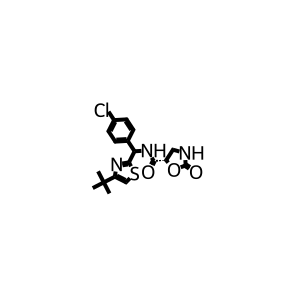 CC(C)(C)c1csc(C(NC(=O)[C@@H]2CNC(=O)O2)c2ccc(Cl)cc2)n1